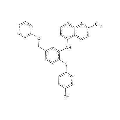 Cc1ccc2c(Nc3cc(COc4ccccc4)ccc3Sc3ccc(O)cc3)ccnc2n1